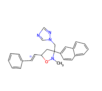 CN1OC(/C=C/c2ccccc2)CC1(Cn1cncn1)c1ccc2ccccc2c1